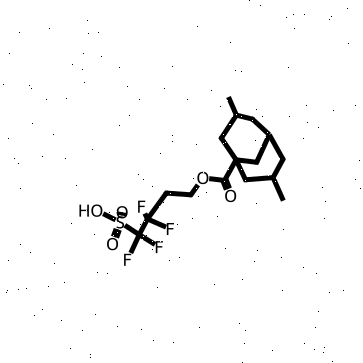 CC1CC2CC(C)CC(C(=O)OCCC(F)(F)C(F)(F)S(=O)(=O)O)(C1)C2